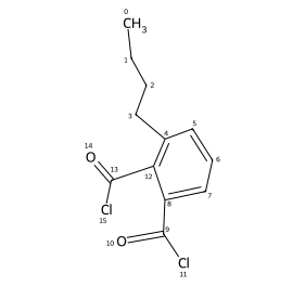 CCCCc1cccc(C(=O)Cl)c1C(=O)Cl